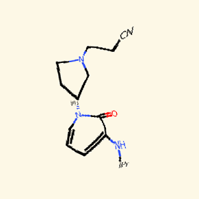 CC(C)Nc1cccn([C@@H]2CCN(CCC#N)C2)c1=O